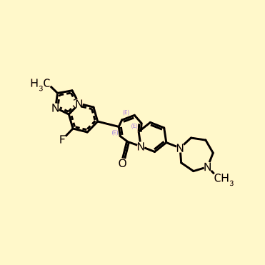 Cc1cn2cc(C3=C\C(=O)N4C=C(N5CCCN(C)CC5)C=C\C4=C/C=C/3)cc(F)c2n1